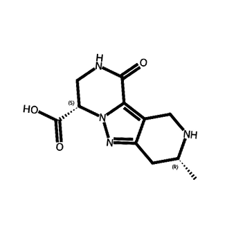 C[C@@H]1Cc2nn3c(c2CN1)C(=O)NC[C@H]3C(=O)O